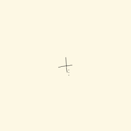 [C]C(C)(C)C